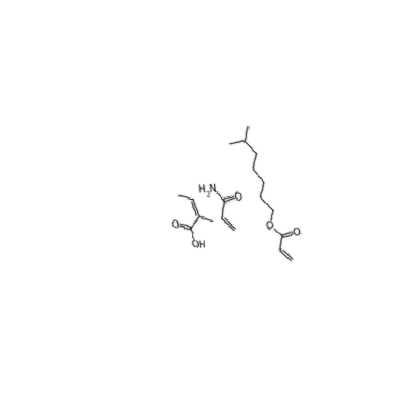 C=CC(=O)OCCCCCC(C)C.C=CC(N)=O.CC=C(C)C(=O)O